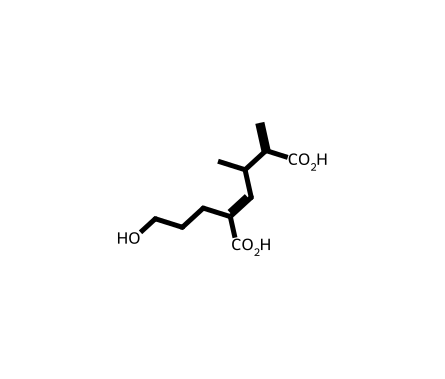 C=C(C(=O)O)C(C)C=C(CCCO)C(=O)O